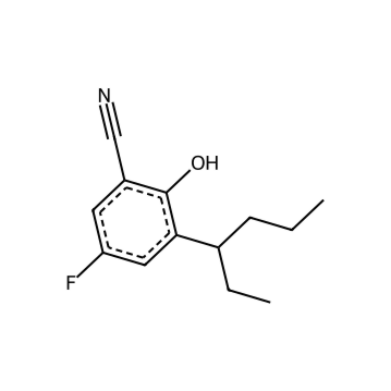 CCCC(CC)c1cc(F)cc(C#N)c1O